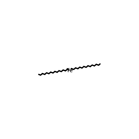 CCCCCCCCCCCCCCC[Te]CCCCCCCCCCCCCCC